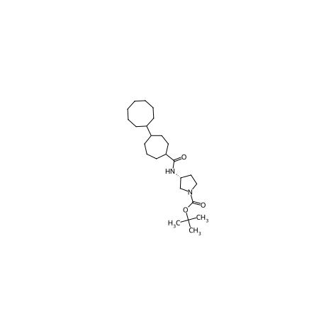 CC(C)(C)OC(=O)N1CC[C@@H](NC(=O)C2CCCC(C3CCCCCCC3)CC2)C1